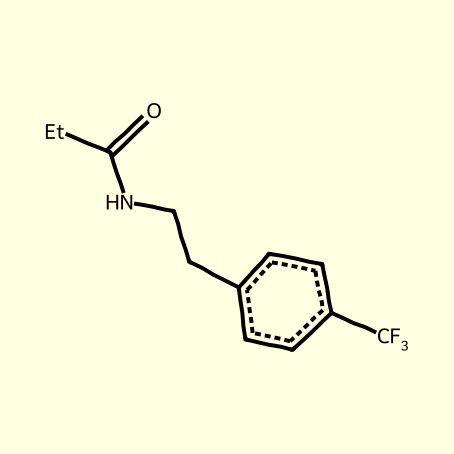 CCC(=O)NCCc1ccc(C(F)(F)F)cc1